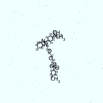 Cc1ccc(S(=O)(=O)OCCOCCOCCn2c(-c3ccc(N(C)C)cc3)nc3ccccc32)cc1